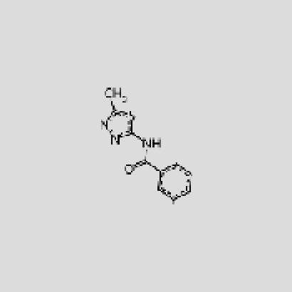 Cc1nnc(NC(=O)c2c[c]ccc2)s1